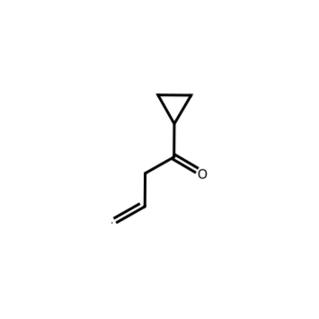 [CH]=CCC(=O)C1CC1